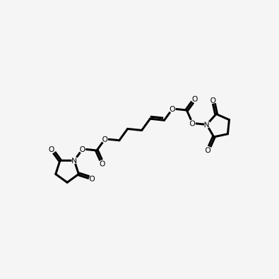 O=C(O/C=C/CCCOC(=O)ON1C(=O)CCC1=O)ON1C(=O)CCC1=O